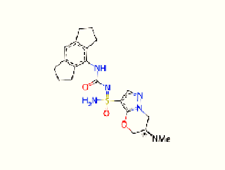 CN[C@H]1COc2c(S(N)(=O)=NC(=O)Nc3c4c(cc5c3CCC5)CCC4)cnn2C1